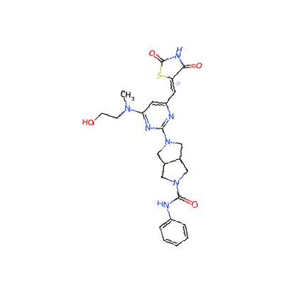 CN(CCO)c1cc(/C=C2\SC(=O)NC2=O)nc(N2CC3CN(C(=O)Nc4ccccc4)CC3C2)n1